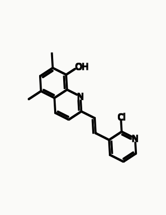 Cc1cc(C)c2ccc(C=Cc3cccnc3Cl)nc2c1O